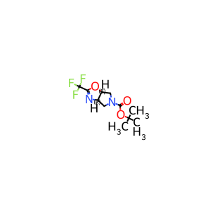 CC(C)(C)OC(=O)N1C[C@@H]2OC(C(F)(F)F)=N[C@@H]2C1